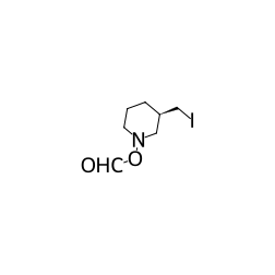 O=CON1CCC[C@@H](CI)C1